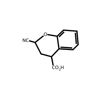 N#CC1CC(C(=O)O)c2ccccc2O1